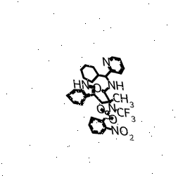 CC(Cc1c[nH]c2ccccc12)(C(=O)NC(c1ccccn1)C1CCCCC1)N(C(F)(F)F)S(=O)(=O)c1ccccc1[N+](=O)[O-]